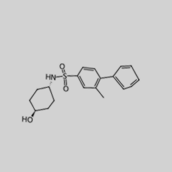 Cc1cc(S(=O)(=O)N[C@H]2CC[C@H](O)CC2)ccc1-c1ccccc1